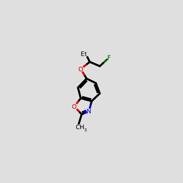 CCC(CF)Oc1ccc2nc(C)oc2c1